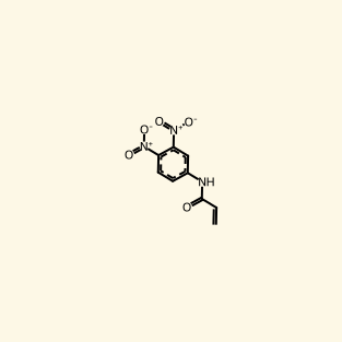 C=CC(=O)Nc1ccc([N+](=O)[O-])c([N+](=O)[O-])c1